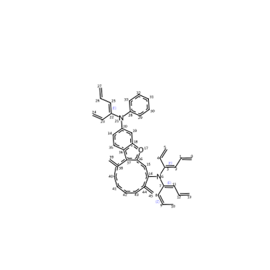 C=C/C=C(\C=C)N(C(/C=C\C)=C/C=C)c1cc2oc3cc(N(/C(C=C)=C/C=C)c4ccccc4)ccc3c2c(=C)ccccc1=C